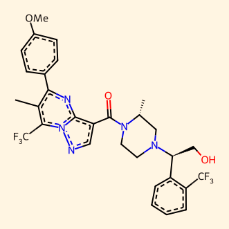 COc1ccc(-c2nc3c(C(=O)N4CCN([C@@H](CO)c5ccccc5C(F)(F)F)C[C@H]4C)cnn3c(C(F)(F)F)c2C)cc1